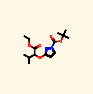 CCOC(=O)C(Oc1ccn(C(=O)OC(C)(C)C)n1)C(C)C